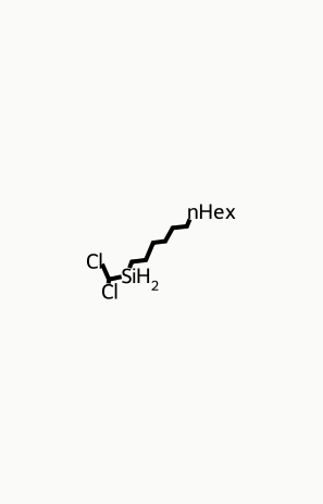 CCCCCCCCCCCC[SiH2]C(Cl)Cl